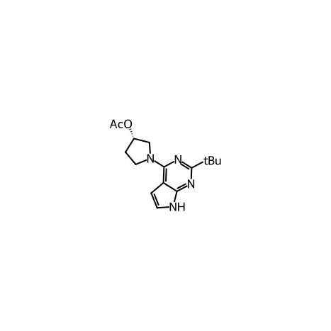 CC(=O)O[C@H]1CCN(c2nc(C(C)(C)C)nc3[nH]ccc23)C1